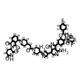 C[C@H](Oc1cc(-c2nn(C)c3c(-c4cnn(C5CCN(C(=O)CC6CCN(c7cccc8c7C(=O)N(C7CCC(=O)NC7=O)C8=O)CC6)CC5)c4)cnc(N)c23)ccc1NS(=O)(=O)C(F)F)c1ccc(F)cc1